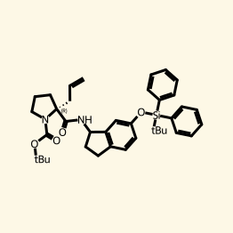 C=CC[C@@]1(C(=O)NC2CCc3ccc(O[Si](c4ccccc4)(c4ccccc4)C(C)(C)C)cc32)CCCN1C(=O)OC(C)(C)C